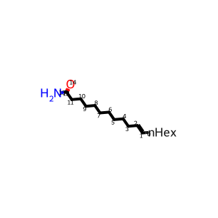 CCCCCCC=CCCCCCCCCCC(N)=O